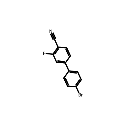 N#Cc1ccc(-c2ccc(Br)cc2)cc1F